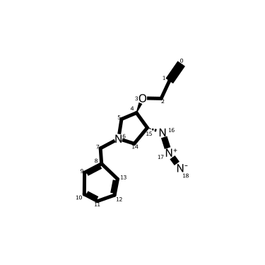 C#CCO[C@@H]1CN(Cc2ccccc2)C[C@H]1N=[N+]=[N-]